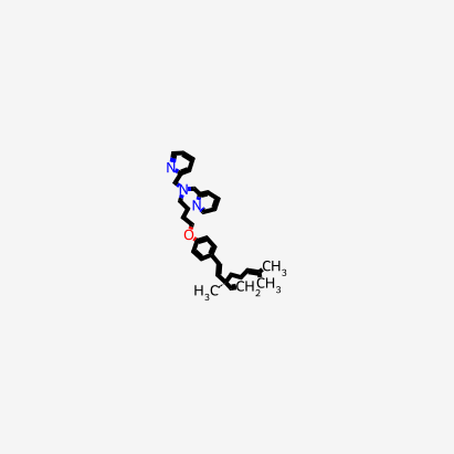 C=C[C@@](C)(/C=C/c1ccc(OCCCCN(Cc2ccccn2)Cc2ccccn2)cc1)CCC=C(C)C